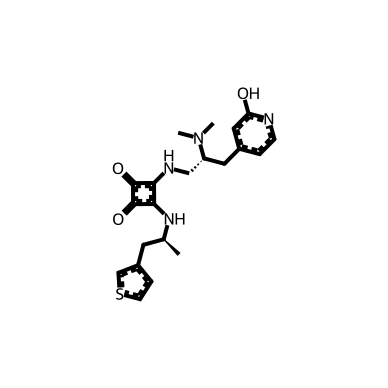 C[C@@H](Cc1ccsc1)Nc1c(NC[C@@H](Cc2ccnc(O)c2)N(C)C)c(=O)c1=O